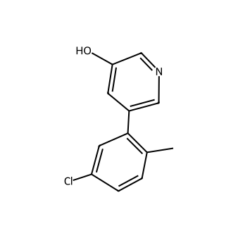 Cc1ccc(Cl)cc1-c1cncc(O)c1